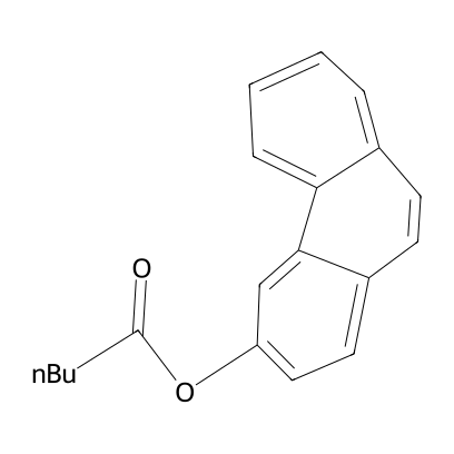 CCCCC(=O)Oc1ccc2ccc3ccccc3c2c1